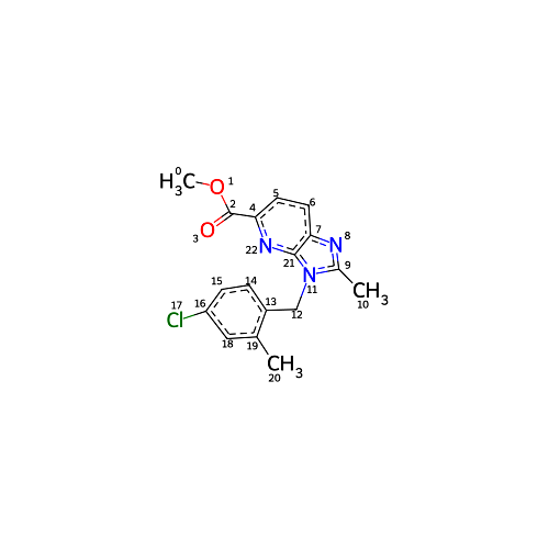 COC(=O)c1ccc2nc(C)n(Cc3ccc(Cl)cc3C)c2n1